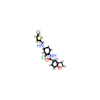 O=C(Nc1ccc(NCc2ccc(Cl)s2)cc1Cl)c1ccc2c(c1)CCO2